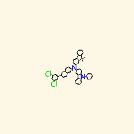 CC1(C)c2ccccc2-c2ccc(N(c3ccc4cc(-c5cc(Cl)cc(Cl)c5)ccc4c3)c3ccc4c(c3)c3ccccc3n4-c3ccccc3)cc21